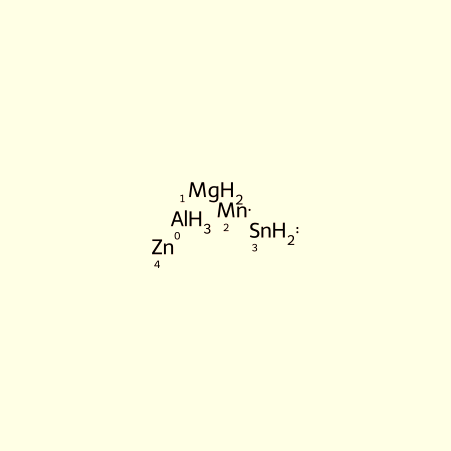 [AlH3].[MgH2].[Mn].[SnH2].[Zn]